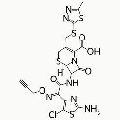 C#CCO/N=C(\C(=O)NC1C(=O)N2C(C(=O)O)=C(CSc3nnc(C)s3)CS[C@H]12)c1nc(N)sc1Cl